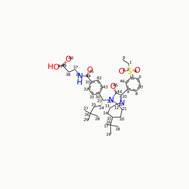 CCS(=O)(=O)c1cccc(C2=NC3(CCC(C(C)(C)C)CC3)N([C@H](CCC(C)(C)C)c3ccc(C(=O)NCCC(=O)O)cc3)C2=O)c1